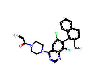 C=CC(=O)N1CCN(c2ncnc3c(F)c(-c4c(OC)ccc5ccccc45)c(Cl)cc23)CC1